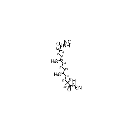 [C-]#[N+]NC(=O)C(C)(C)CCC(O)CCCC(O)CCC(C)(C)C(=O)NC#N